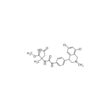 COC(=O)C(C)(CC(=O)O)NC(=O)Nc1ccc(C2CN(C)Cc3c(Cl)cc(Cl)cc32)cc1